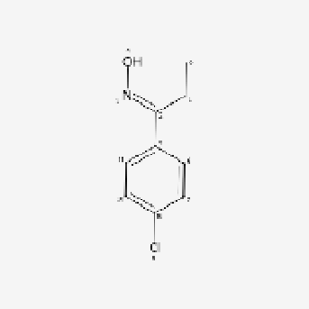 CCC(=NO)c1ccc(Cl)cc1